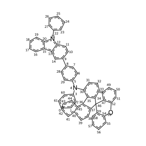 c1ccc(N(c2ccc(-c3ccc4c(c3)c3ccccc3n4-c3ccccc3)cc2)c2cccc3c2-c2c(ccc4ccccc24)C32c3ccccc3Oc3ccccc32)cc1